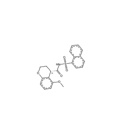 COc1cccc2c1[C@@H](C(=O)NS(=O)(=O)c1cccc3ccccc13)CCO2